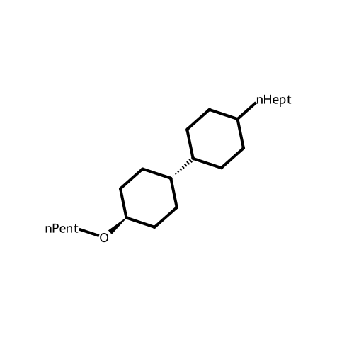 CCCCCCCC1CCC([C@H]2CC[C@H](OCCCCC)CC2)CC1